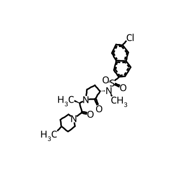 CC1CCN(C(=O)[C@@H](C)N2CC[C@H](N(C)S(=O)(=O)c3ccc4cc(Cl)ccc4c3)C2=O)CC1